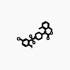 Cc1cccc2c1N(C1CCN(S(=O)(=O)c3cc(Cl)ccc3I)CC1)C(=O)OC2